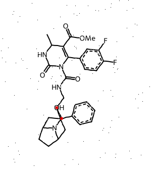 COC(=O)C1=C(c2ccc(F)c(F)c2)N(C(=O)NCCCN2C3CCC2CC(O)(c2ccccc2)C3)C(=O)NC1C